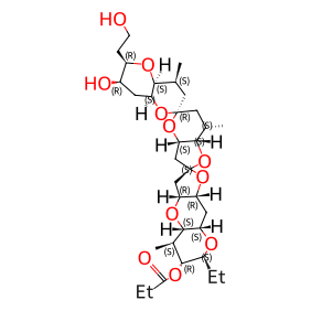 CCC(=O)O[C@@H]1[C@@H](C)[C@@H]2O[C@@H]3C[C@]4(C[C@@H]5O[C@]6(C[C@H](C)[C@@H]7O[C@H](CCO)[C@H](O)C[C@@H]7O6)C[C@H](C)[C@@H]5O4)O[C@@H]3C[C@@H]2O[C@H]1CC